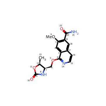 COc1cc2c(OC[C@H]3NC(=O)O[C@H]3C)nccc2cc1C(N)=O